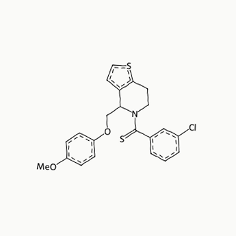 COc1ccc(OCC2c3ccsc3CCN2C(=S)c2cccc(Cl)c2)cc1